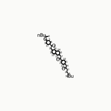 C=C(CCCC)Oc1ccc(C(=O)Cc2ccc3cc(CC(=O)c4ccc(CC(=O)CCCC(C)CC)cc4)ccc3c2)cc1